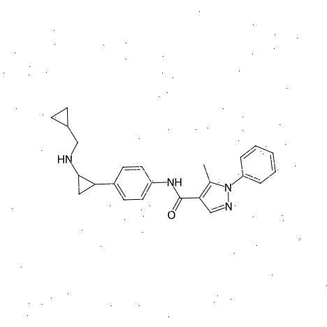 Cc1c(C(=O)Nc2ccc(C3CC3NCC3CC3)cc2)cnn1-c1ccccc1